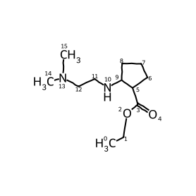 CCOC(=O)C1CCCC1NCCN(C)C